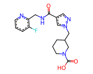 O=C(NCc1ncccc1F)c1cnn(CC2CCCN(C(=O)O)C2)c1